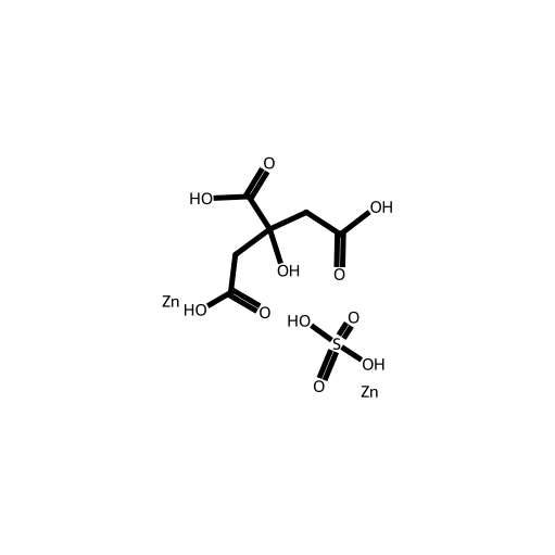 O=C(O)CC(O)(CC(=O)O)C(=O)O.O=S(=O)(O)O.[Zn].[Zn]